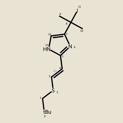 CC(C)(C)CS/C=C/c1nc(C(C)(C)I)c[nH]1